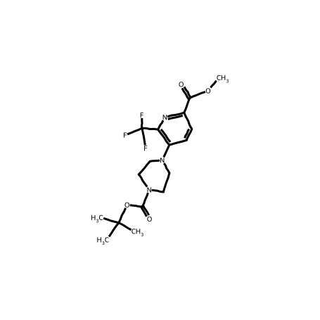 COC(=O)c1ccc(N2CCN(C(=O)OC(C)(C)C)CC2)c(C(F)(F)F)n1